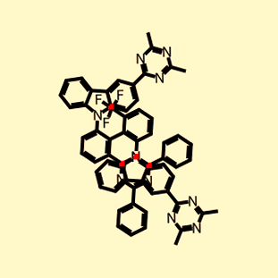 Cc1nc(C)nc(-c2ccc3c(c2)c2ccccc2n3-c2cccc(-c3nc(-c4ccccc4)nc(-c4ccccc4)n3)c2-c2c(-n3c4ccccc4c4cc(-c5nc(C)nc(C)n5)ccc43)cccc2C(F)(F)F)n1